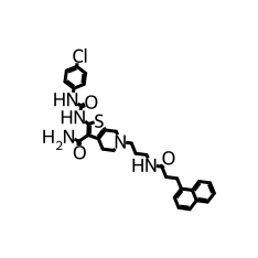 NC(=O)c1c(NC(=O)Nc2ccc(Cl)cc2)sc2c1CCN(CCCNC(=O)CCc1cccc3ccccc13)C2